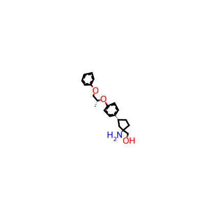 C[C@H](COc1ccccc1)Oc1ccc([C@@H]2CC[C@](N)(CO)C2)cc1